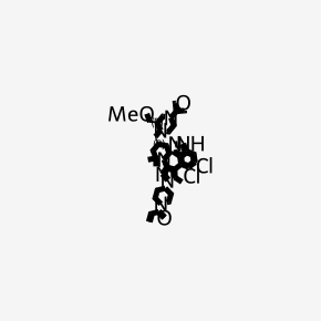 C=CC(=O)N1CCC(n2nc(N3CC[C@@H](CN4CCN(C5COC5)C[C@@H]4COC)CC3(C)C)c(-c3c(Cl)c(Cl)cc4[nH]ncc34)c2C)CC1